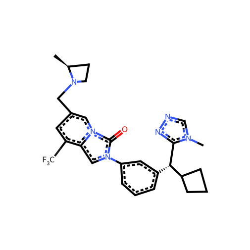 C[C@H]1CCN1Cc1cc(C(F)(F)F)c2cn(-c3cccc([C@H](c4nncn4C)C4CCC4)c3)c(=O)n2c1